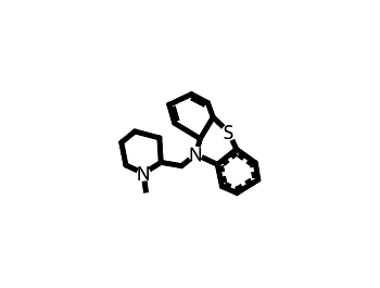 CN1CCCCC1CN1c2ccccc2SC2C=CC=CC21